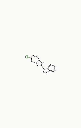 Clc1ccc2c(c1)CC(C1CCc3ccccc31)[CH]2